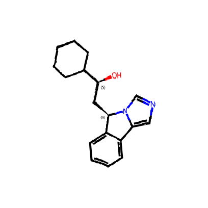 O[C@@H](C[C@@H]1c2ccccc2-c2cncn21)C1CCCCC1